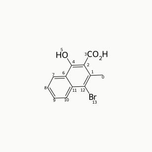 Cc1c(C(=O)O)c(O)c2ccccc2c1Br